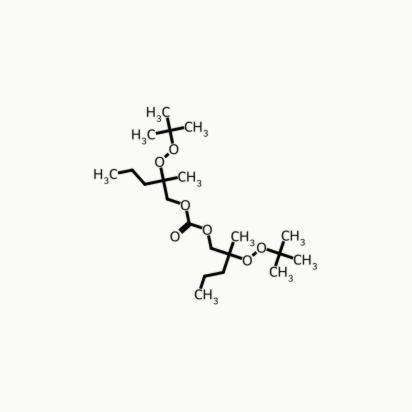 CCCC(C)(COC(=O)OCC(C)(CCC)OOC(C)(C)C)OOC(C)(C)C